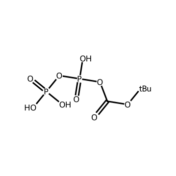 CC(C)(C)OC(=O)OP(=O)(O)OP(=O)(O)O